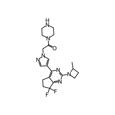 CC1CCN1c1nc(-c2cnn(CC(=O)N3CCNCC3)c2)c2c(n1)C(F)(F)CC2